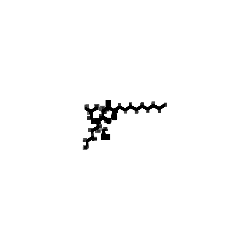 CCCCCCCCCC(=O)N[C@@H](CC(C)C)C(=O)N[C@H](CO)CCCC